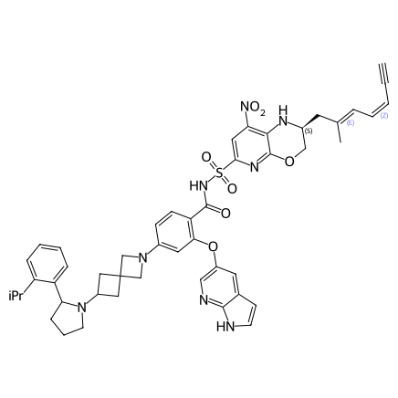 C#C/C=C\C=C(/C)C[C@H]1COc2nc(S(=O)(=O)NC(=O)c3ccc(N4CC5(CC(N6CCCC6c6ccccc6C(C)C)C5)C4)cc3Oc3cnc4[nH]ccc4c3)cc([N+](=O)[O-])c2N1